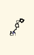 C/C(CCc1ccc(Oc2ccccc2)cc1)=N\O